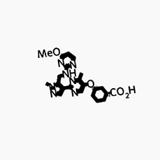 COc1ccnc(NCc2c(-c3ncc(O[C@H]4CCC[C@H](C(=O)O)C4)c(C)n3)cnn2C)n1